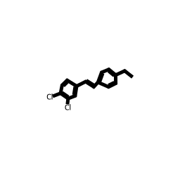 CCc1ccc(/C=C/c2ccc(Cl)c(Cl)c2)cc1